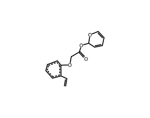 C=Cc1ccccc1OCC(=O)OC1C=CC=CO1